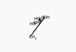 CCCCCCCCCCC/C=C/C=C/C(=C/C=C/C(=O)O)OOO.OO